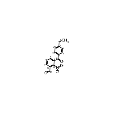 CCc1ccc(C(=O)c2cccc([C]=O)c2[N+](=O)[O-])cc1